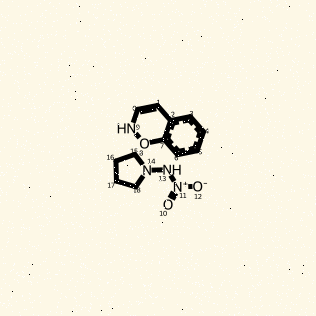 C1=Cc2ccccc2ON1.O=[N+]([O-])NN1CCCC1